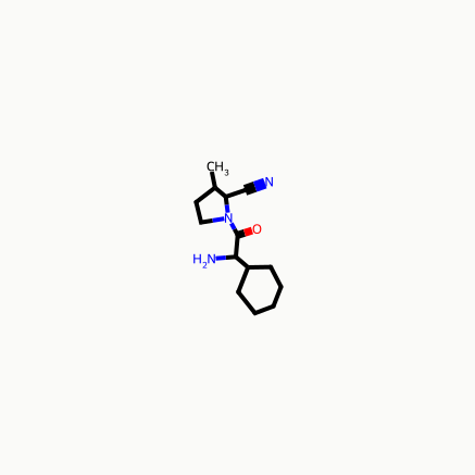 CC1CCN(C(=O)C(N)C2CCCCC2)C1C#N